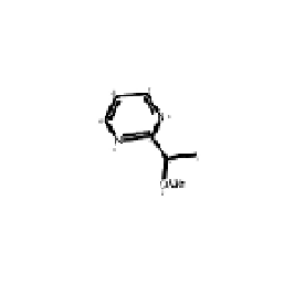 COC(C)c1n[c]ccn1